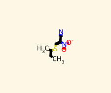 CCC(C)SC=C(C#N)[N+](=O)[O-]